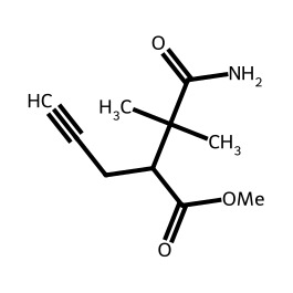 C#CCC(C(=O)OC)C(C)(C)C(N)=O